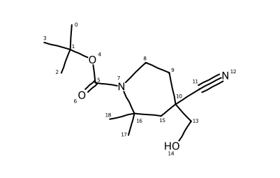 CC(C)(C)OC(=O)N1CCC(C#N)(CO)CC1(C)C